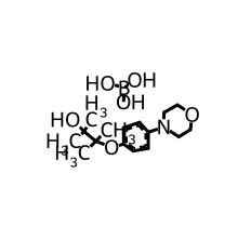 CC(C)(O)C(C)(C)Oc1ccc(N2CCOCC2)cc1.OB(O)O